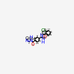 CO/N=C\NC(=O)c1ccc(C2=NC(c3ccccc3Cl)(C(F)(F)F)ON2)cc1